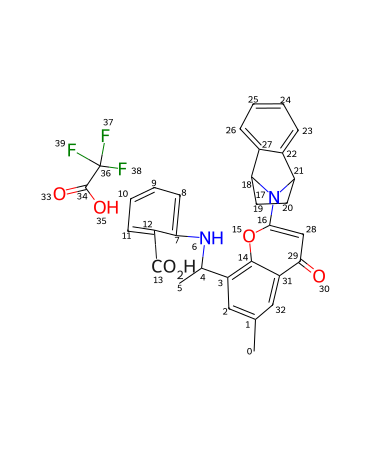 Cc1cc(C(C)Nc2ccccc2C(=O)O)c2oc(N3C4CCC3c3ccccc34)cc(=O)c2c1.O=C(O)C(F)(F)F